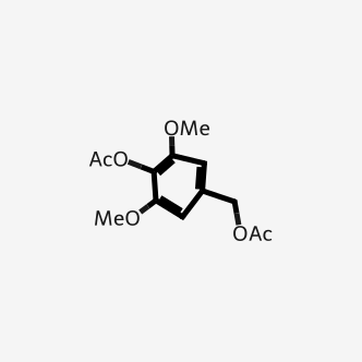 COc1cc(COC(C)=O)cc(OC)c1OC(C)=O